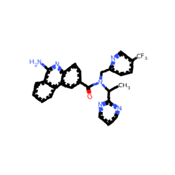 CC(c1ncccn1)N(Cc1ccc(C(F)(F)F)cn1)C(=O)c1ccc2nc(N)c3ccccc3c2c1